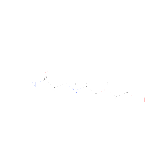 NC(=O)CCNCCOCCO